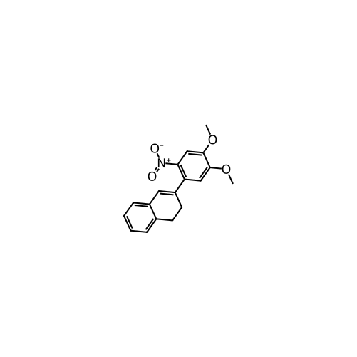 COc1cc(C2=Cc3ccccc3CC2)c([N+](=O)[O-])cc1OC